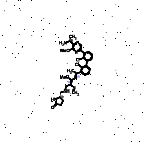 C=N/C(CNC[C@@H]1CCC(=O)N1)=C(\N=C(/C)c1cccc(-c2cccc(-c3cnc([C@@H](C)N)c(OC)n3)c2Cl)c1Cl)OC